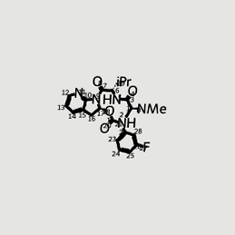 CN[C@@H](C)C(=O)N[C@H](C(=O)N1c2ncccc2C[C@@H]1OC(=O)Nc1cccc(F)c1)C(C)C